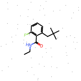 CCNC(=O)c1c(F)cccc1CC(C)(C)C